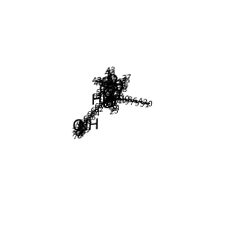 CCCCCCCCCCCCCC[C@@H](OCCCC)[C@@H](OCCCC)[C@H](CO[C@H]1OC(COCCCC)[C@H](OCCCC)[C@H](OCCCC)C1OCCCC)NC(=O)CCCCCCCCCCCNC(=O)c1ccccc1F